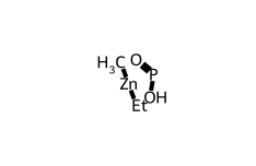 C[CH2][Zn][CH3].O=PO